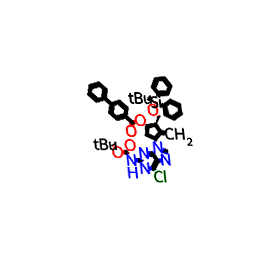 C=C1[C@H](CO[Si](c2ccccc2)(c2ccccc2)C(C)(C)C)[C@@H](OC(=O)c2ccc(-c3ccccc3)cc2)C[C@@H]1n1cnc2c(Cl)nc(NC(=O)OC(C)(C)C)nc21